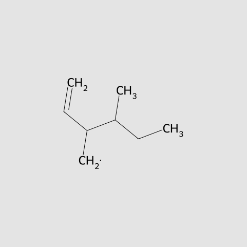 [CH2]C(C=C)C(C)CC